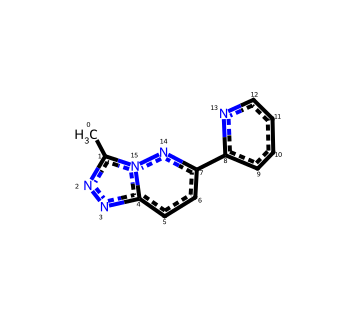 Cc1nnc2ccc(-c3ccccn3)nn12